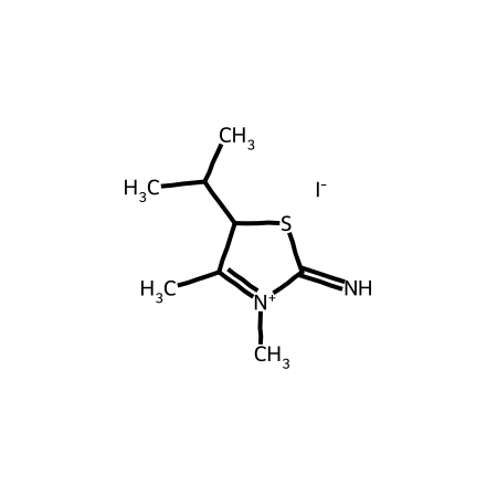 CC1=[N+](C)C(=N)SC1C(C)C.[I-]